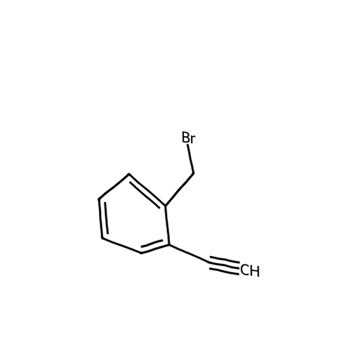 C#Cc1ccccc1CBr